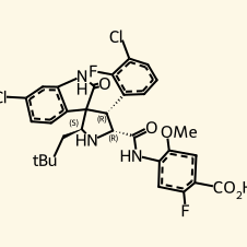 COc1cc(C(=O)O)c(F)cc1NC(=O)[C@@H]1N[C@@H](CC(C)(C)C)C2(C(=O)Nc3cc(Cl)ccc32)[C@@H]1c1cccc(Cl)c1F